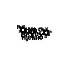 CC(=N)/C(C(=O)OCC(=O)c1ccccc1Cl)=C(/N)Nc1ccc(F)cc1C